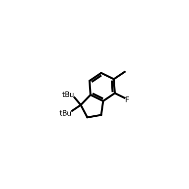 Cc1ccc2c(c1F)CCC2(C(C)(C)C)C(C)(C)C